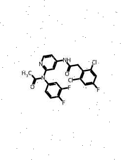 CC(=O)N(c1ccc(F)c(F)c1)c1cc(NC(=O)Cc2c(Cl)cc(F)cc2Cl)ccn1